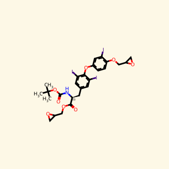 CC(C)(C)OC(=O)N[C@@H](Cc1cc(I)c(Oc2ccc(OCC3CO3)c(I)c2)c(I)c1)C(=O)OCC1CO1